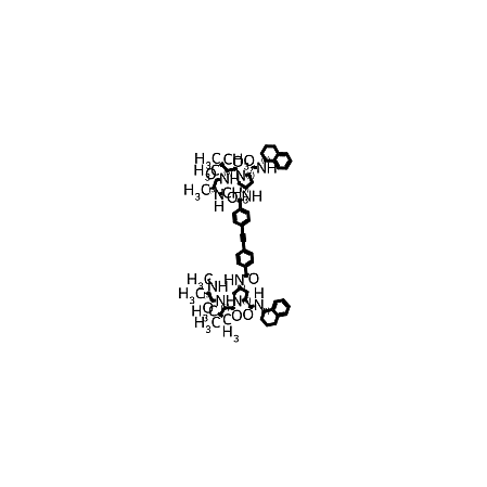 CN[C@@H](C)C(=O)N[C@H](C(=O)N1C[C@@H](NC(=O)c2ccc(C#Cc3ccc(C(=O)N[C@H]4C[C@@H](C(=O)N[C@@H]5CCCc6ccccc65)N(C(=O)[C@@H](NC(=O)[C@H](C)NC)C(C)(C)C)C4)cc3)cc2)C[C@H]1C(=O)N[C@@H]1CCCc2ccccc21)C(C)(C)C